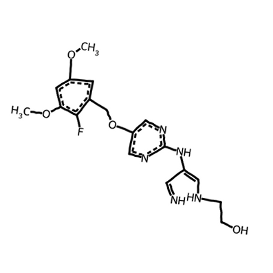 COc1cc(COc2cnc(N/C(C=N)=C/NCCO)nc2)c(F)c(OC)c1